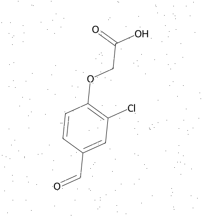 O=Cc1ccc(OCC(=O)O)c(Cl)c1